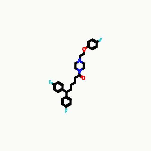 O=C(CCCCC(c1ccc(F)cc1)c1ccc(F)cc1)N1CCN(CCOc2ccc(F)cc2)CC1